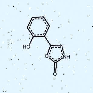 O=c1[nH]nc(-c2ccccc2O)o1